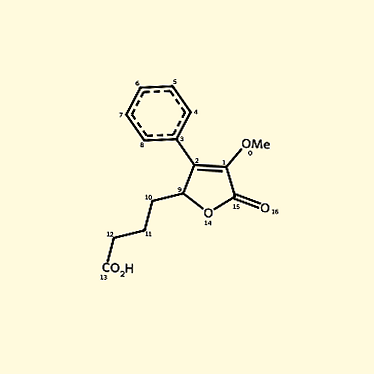 COC1=C(c2ccccc2)C(CCCC(=O)O)OC1=O